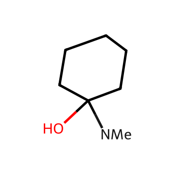 CNC1(O)CCCCC1